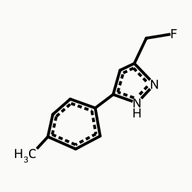 Cc1ccc(-c2cc(CF)n[nH]2)cc1